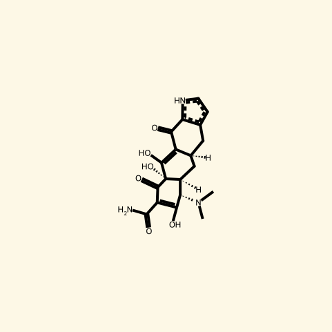 CN(C)[C@@H]1C(O)=C(C(N)=O)C(=O)[C@@]2(O)C(O)=C3C(=O)c4[nH]ccc4C[C@H]3C[C@@H]12